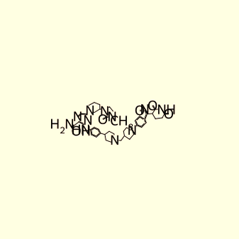 CN1CCN([C@@H]2CCCN(c3cnc(C(N)O)c(Nc4ccc(C5CCN(CC6CCN(c7ccc8c(C9CCC(=O)NC9=O)noc8c7)CC6)CC5)cc4)n3)C2)C1=O